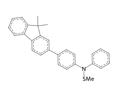 CSN(c1ccccc1)c1ccc(-c2ccc3c(c2)C(C)(C)c2ccccc2-3)cc1